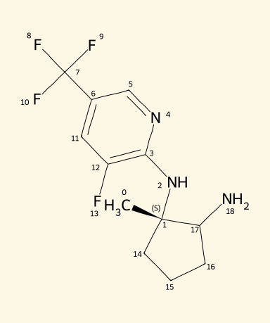 C[C@]1(Nc2ncc(C(F)(F)F)cc2F)CCCC1N